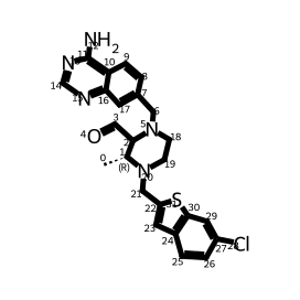 C[C@@H]1C(C=O)N(Cc2ccc3c(N)ncnc3c2)CCN1Cc1cc2ccc(Cl)cc2s1